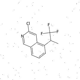 CC(c1cccc2cnc(Cl)cc12)C(F)(F)F